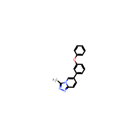 FC(F)(F)c1nnc2ccc(-c3cccc(Oc4ccccc4)c3)cn12